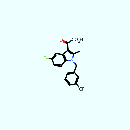 Cc1c(C(=O)C(=O)O)c2cc(F)ccc2n1Cc1cccc(C(F)(F)F)c1